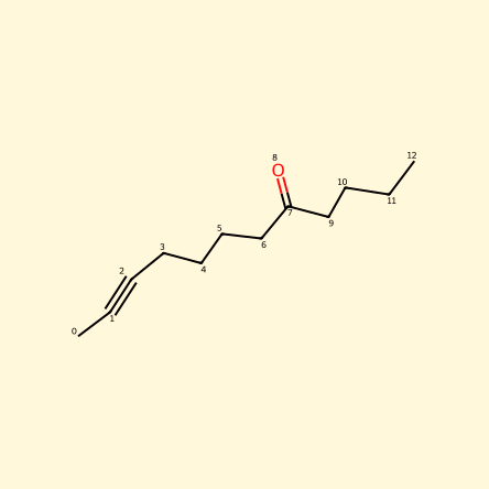 CC#CCCCCC(=O)CCCC